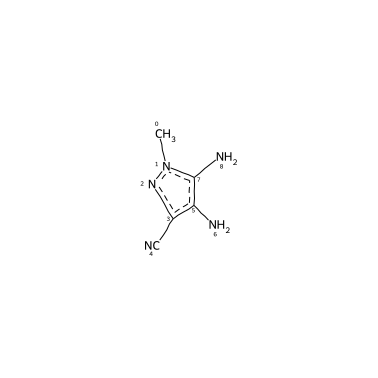 Cn1nc(C#N)c(N)c1N